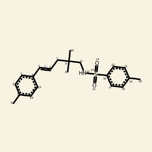 Cc1ccc(/C=C/CC(C)(C)CNS(=O)(=O)c2ccc(C)cc2)cc1